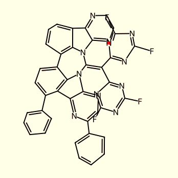 Fc1nc(F)nc(C(c2nc(F)nc(F)n2)=c2n3c4nccnc4c4cccc(c5ccc(-c6ccccc6)c6c7nc(-c8ccccc8)cnc7n2c56)c43)n1